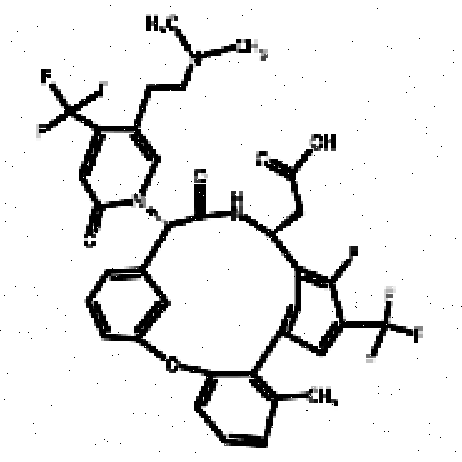 Cc1cccc2c1-c1cc(c(F)c(C(F)(F)F)c1)[C@H](CC(=O)O)NC(=O)[C@@H](n1cc(CCN(C)C)c(C(F)(F)F)cc1=O)c1cccc(c1)O2